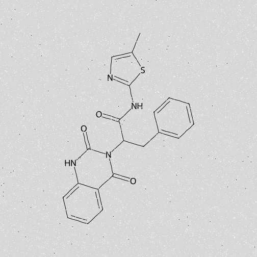 Cc1cnc(NC(=O)C(Cc2ccccc2)n2c(=O)[nH]c3ccccc3c2=O)s1